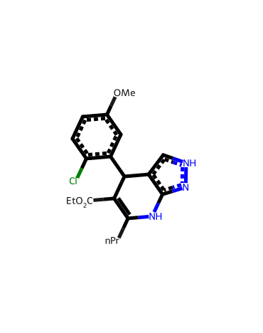 CCCC1=C(C(=O)OCC)C(c2cc(OC)ccc2Cl)c2c[nH]nc2N1